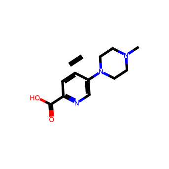 C=C.CN1CCN(c2ccc(C(=O)O)nc2)CC1